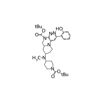 CN(C1CCN(C(=O)OC(C)(C)C)CC1)C1CCN2c3cc(-c4ccccc4O)nnc3N(C(=O)OC(C)(C)C)CC2C1